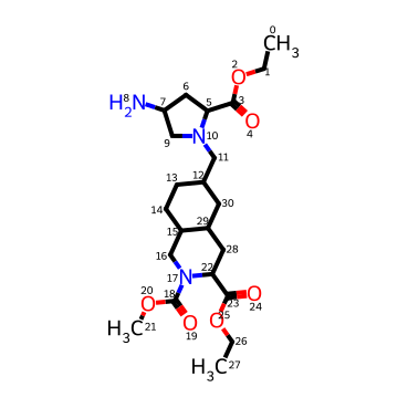 CCOC(=O)C1CC(N)CN1CC1CCC2CN(C(=O)OC)C(C(=O)OCC)CC2C1